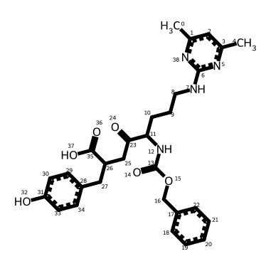 Cc1cc(C)nc(NCCCC(NC(=O)OCc2ccccc2)C(=O)CC(Cc2ccc(O)cc2)C(=O)O)n1